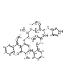 CC[C@H](C)[C@H](N)C(=O)N(C(=O)c1ccccn1)C(=O)[C@H](C(C)C)[C@@H](O)[C@H](O)[C@H](CC(C)C)NC(=O)[C@H](Cc1c[nH]cn1)NC(=O)COc1ccccc1